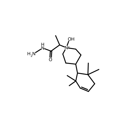 CC(C(=O)NN)[N+]1(O)CCC(C2C(C)(C)C=CCC2(C)C)CC1